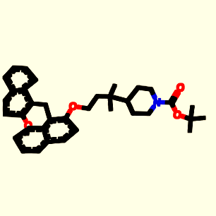 COc1ccc2ccccc2c1Cc1c(OCCC(C)(C)C2CCN(C(=O)OC(C)(C)C)CC2)ccc2ccccc12